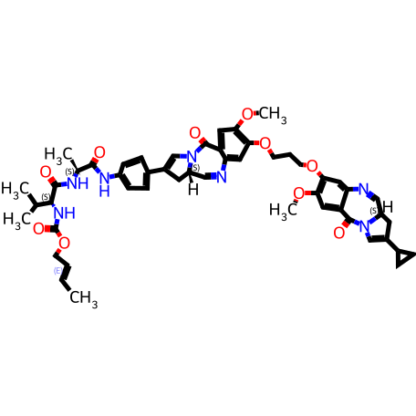 C/C=C/COC(=O)N[C@H](C(=O)N[C@@H](C)C(=O)Nc1ccc(C2=CN3C(=O)c4cc(OC)c(OCCCOc5cc6c(cc5OC)C(=O)N5C=C(C7CC7)C[C@H]5C=N6)cc4N=C[C@@H]3C2)cc1)C(C)C